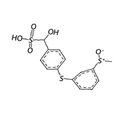 C[S+]([O-])c1cccc(Sc2ccc(C(O)S(=O)(=O)O)cc2)c1